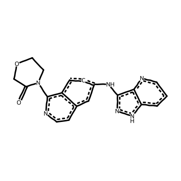 O=C1COCCN1c1nccc2cc(Nc3n[nH]c4cccnc34)ccc12